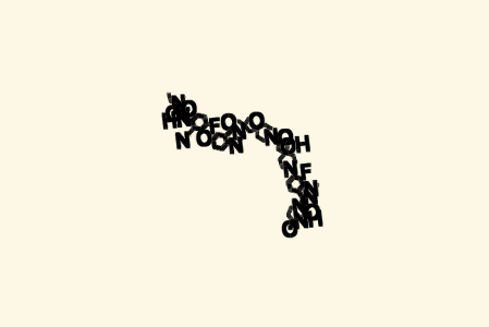 CCN(C)S(=O)(=O)Nc1ccc(F)c(Oc2ccc3ncn(C4(C)COC5(CCN(C(=O)CC6(O)CCN(c7ccc8c(N9CCC(=O)NC9=O)nn(C)c8c7F)CC6)CC5)C4)c(=O)c3c2)c1C#N